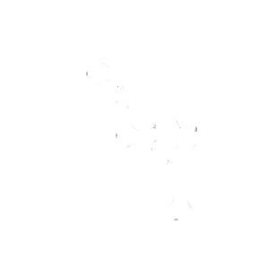 O=C(Nc1ccc(F)cc1)Nc1cccc2nc(-c3c(NCC(O)c4ccccc4)cc[nH]c3=O)[nH]c12